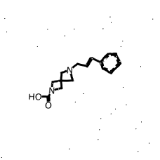 O=C(O)N1CC2(CN(CC=Cc3ccccc3)C2)C1